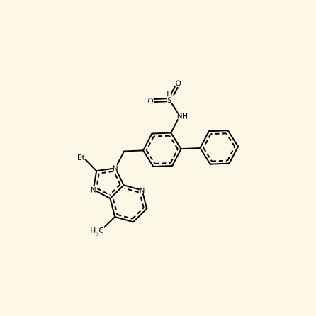 CCc1nc2c(C)ccnc2n1Cc1ccc(-c2ccccc2)c(N[SH](=O)=O)c1